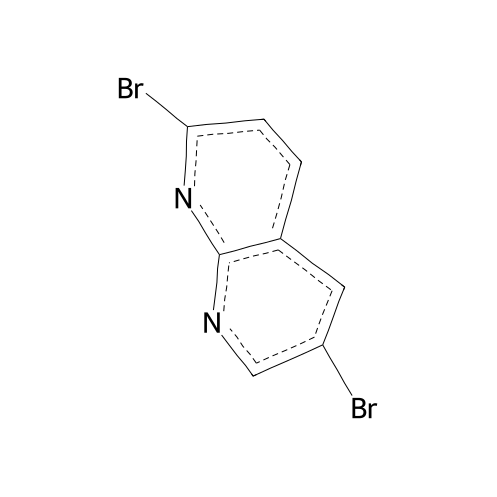 Brc1cnc2nc(Br)ccc2c1